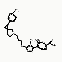 Cc1nc(C(N)=O)ccc1-c1nnc(SCCCN2CCC3(CC3c3ccc(C(F)(F)F)cc3)C2)n1C